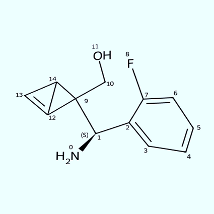 N[C@H](c1ccccc1F)C1(CO)C2=CC21